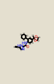 C#Cc1cnc(C(=O)Nc2ccc(C3(C)OCCO3)cc2C2=CCCCC2)[nH]1